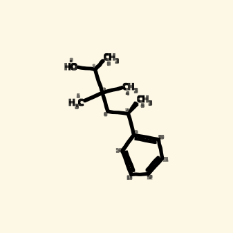 CC(O)C(C)(C)C[C@@H](C)c1ccccc1